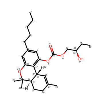 CCCCCc1cc(OC(=O)OC[C@H](O)CC)c2c(c1)OC(C)(C)[C@@H]1CCC(C)=C[C@@H]21